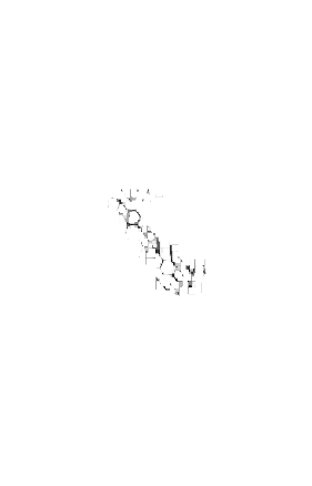 [2H]C([2H])(c1cc2ncnc3c2c(c1F)NC(=O)N3CC)N1CCN(c2ccc(C(=O)NC)nc2C)CC1